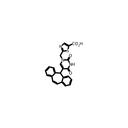 O=C(O)c1cnc(Cn2cc(C3c4ccccc4C=Cc4ccccc43)c(=O)[nH]c2=O)s1